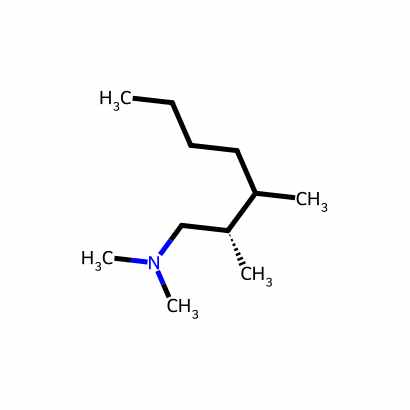 CCCCC(C)[C@H](C)CN(C)C